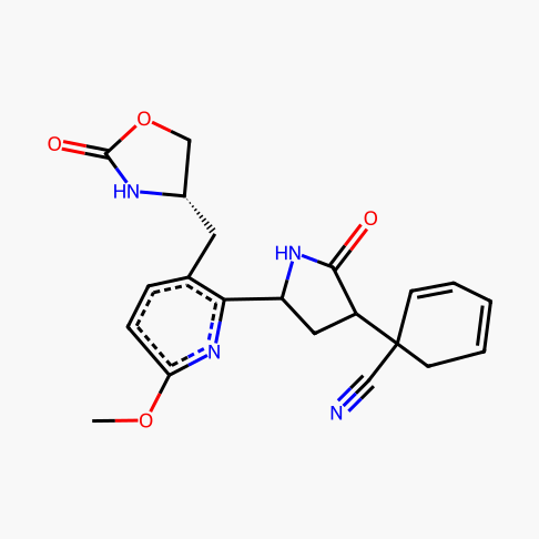 COc1ccc(C[C@H]2COC(=O)N2)c(C2CC(C3(C#N)C=CC=CC3)C(=O)N2)n1